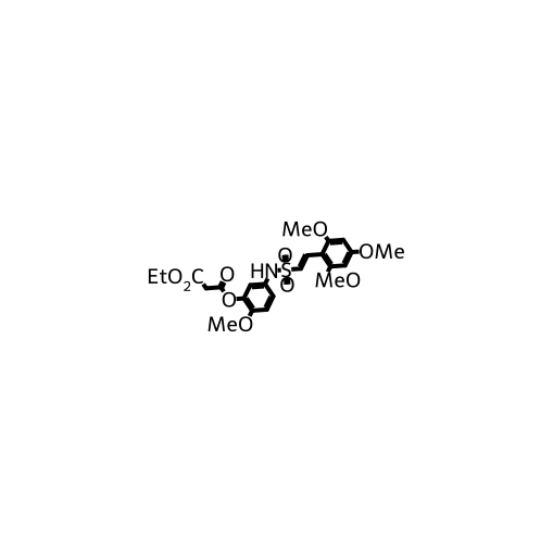 CCOC(=O)CC(=O)Oc1cc(NS(=O)(=O)/C=C/c2c(OC)cc(OC)cc2OC)ccc1OC